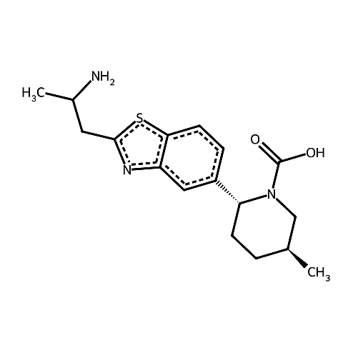 CC(N)Cc1nc2cc([C@H]3CC[C@H](C)CN3C(=O)O)ccc2s1